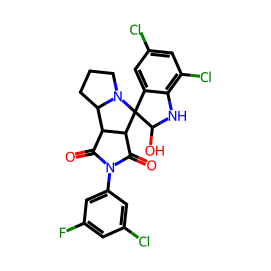 O=C1C2C3CCCN3C3(c4cc(Cl)cc(Cl)c4NC3O)C2C(=O)N1c1cc(F)cc(Cl)c1